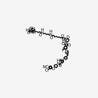 N#Cc1ccc(OC2CCC(NC(=O)c3ccc(N4CCC(CN5CCN(c6cc7c(cc6F)C(=O)N(C6CCC(=O)N(COC(=O)CCCCCCC(=O)NCCCCCNC(=O)CCCC[C@@H]8SC[C@@H]9NC(=O)N[C@@H]98)C6=O)C7=O)CC5)CC4)nn3)CC2)cc1Cl